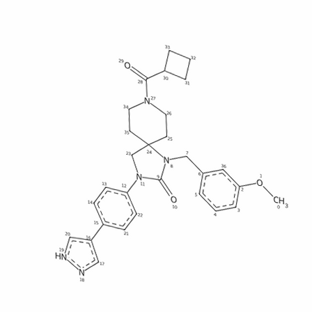 COc1cccc(CN2C(=O)N(c3ccc(-c4cn[nH]c4)cc3)CC23CCN(C(=O)C2CCC2)CC3)c1